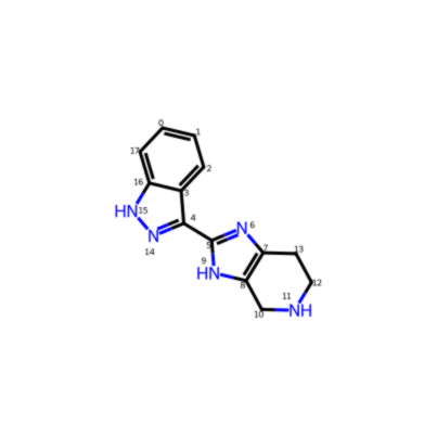 c1ccc2c(-c3nc4c([nH]3)CNCC4)n[nH]c2c1